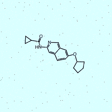 O=C(Nc1cc2ccc(OC3CCCC3)cc2cn1)C1CC1